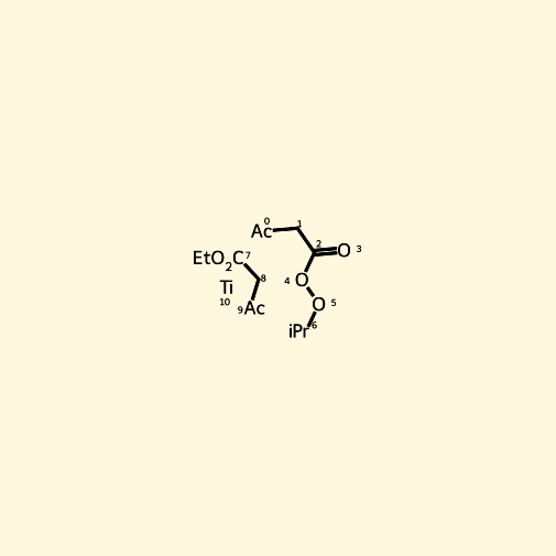 CC(=O)CC(=O)OOC(C)C.CCOC(=O)CC(C)=O.[Ti]